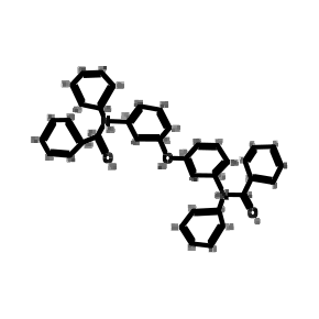 O=C(c1ccccc1)N(c1ccccc1)c1cccc(Oc2cccc(N(C(=O)c3ccccc3)c3ccccc3)c2)c1